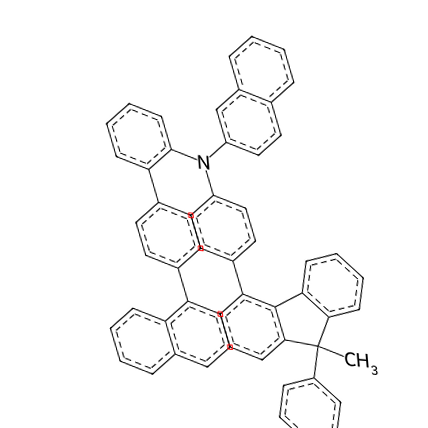 CC1(c2ccccc2)c2ccccc2-c2c(-c3ccc(N(c4ccc5ccccc5c4)c4ccccc4-c4ccc(-c5cccc6ccccc56)cc4)cc3)cccc21